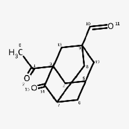 CC(=O)C12CC3CC(CC(C=O)(C3)C1)C2=O